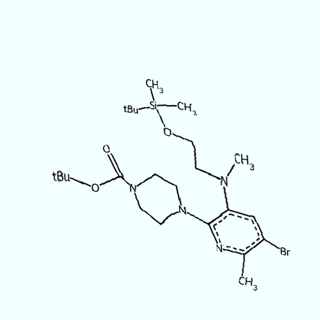 Cc1nc(N2CCN(C(=O)OC(C)(C)C)CC2)c(N(C)CCO[Si](C)(C)C(C)(C)C)cc1Br